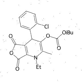 CCN1C(C)=C(OC(=O)OCC(C)C)C(c2ccccc2Cl)C2=C1C(=O)OC2=O